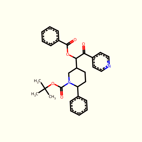 CC(C)(C)OC(=O)N1CC(C(OC(=O)c2ccccc2)C(=O)c2ccncc2)CCC1c1ccccc1